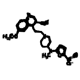 COc1ccc2ncc(C#N)c(CCN3CCC(N(C)c4ccc([N+](=O)[O-])o4)CC3)c2c1